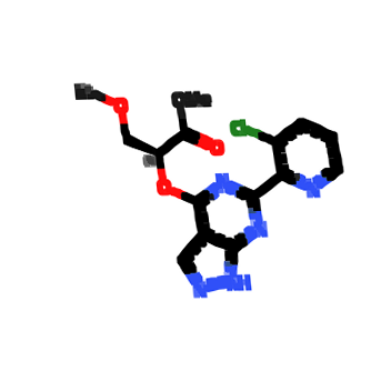 CCOC[C@H](Oc1nc(-c2ncccc2Cl)nc2[nH]ncc12)C(=O)OC